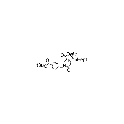 CCCCCCCC(=O)N1CC(=O)N(Cc2ccc(C(=O)OC(C)(C)C)cc2)CC1C(=O)OC